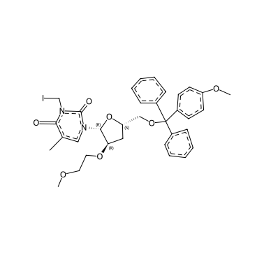 COCCO[C@@H]1C[C@@H](COC(c2ccccc2)(c2ccccc2)c2ccc(OC)cc2)O[C@H]1n1cc(C)c(=O)n(CI)c1=O